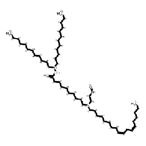 CCCCC/C=C\C/C=C\CCCCCCCCN(CCCCCCCCCC(=O)ON(CCCCCCCCCCCC)CCCCCCCCCCCC)CCN=O